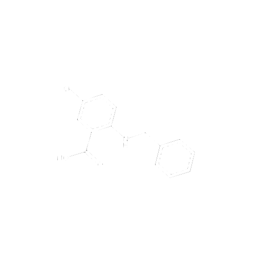 O=C(O)c1cc(Cl)ccc1NCc1ccccc1